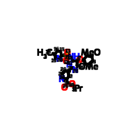 COc1ccccc1Oc1c(NS(=O)(=O)c2ccc(C)cn2)nc(-c2ccnc(C(=O)OC(C)C)c2)nc1OC